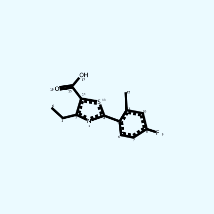 CCc1nc(-c2ccc(F)cc2C)sc1C(=O)O